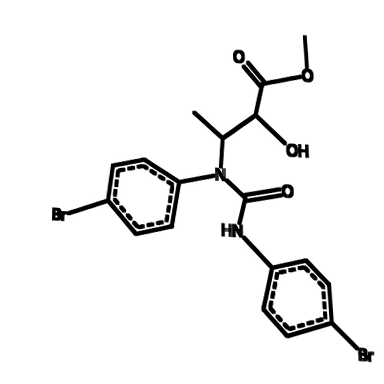 COC(=O)C(O)C(C)N(C(=O)Nc1ccc(Br)cc1)c1ccc(Br)cc1